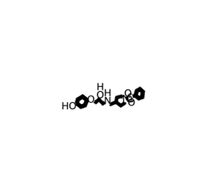 O=S(=O)(c1ccccc1)N1CCC(CNC[C@H](O)COc2ccc(O)cc2)CC1